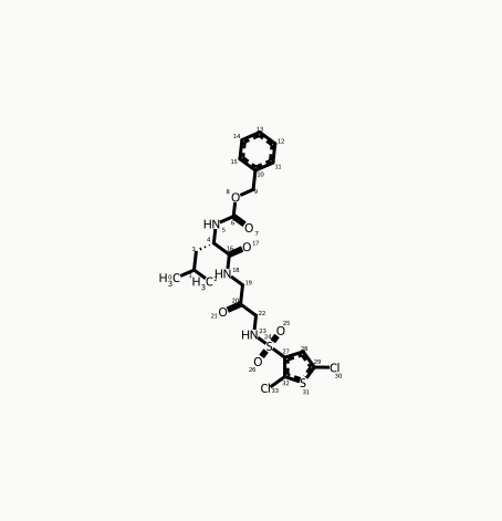 CC(C)C[C@H](NC(=O)OCc1ccccc1)C(=O)NCC(=O)CNS(=O)(=O)c1cc(Cl)sc1Cl